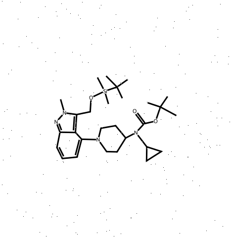 Cn1nc2cccc(N3CCC(N(C(=O)OC(C)(C)C)C4CC4)CC3)c2c1CO[Si](C)(C)C(C)(C)C